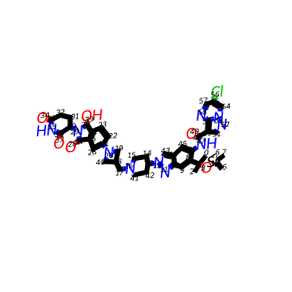 CC(C)(O[Si](C)(C)C)c1cc2nn(C3CCN(CC4CN(c5ccc6c(c5)C(=O)N(C5CCC(=O)NC5=O)C6O)C4)CC3)cc2cc1NC(=O)c1cnn2cc(Cl)cnc12